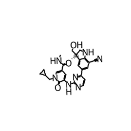 CNC(=O)c1cc(Nc2nccc(-c3cc(C#N)c4c(c3)[C@@](C)(CO)CN4)n2)c(=O)n(CC2CC2)c1